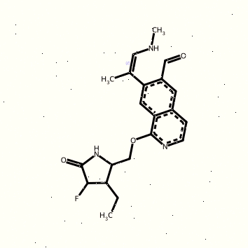 CCC1C(COc2nccc3cc(C=O)c(/C(C)=C\NC)cc23)NC(=O)C1F